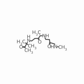 CNCC(=O)CCN[C@@H](C)C(=O)CCNC(C)(C)C(C)=O